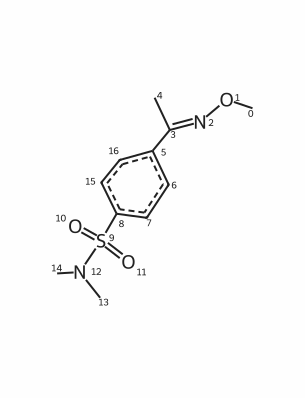 CO/N=C(\C)c1ccc(S(=O)(=O)N(C)C)cc1